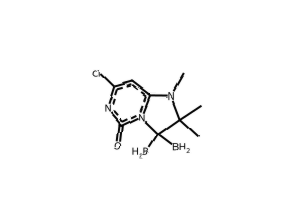 BC1(B)n2c(cc(Cl)nc2=O)N(C)C1(C)C